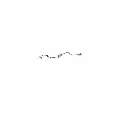 [CH2]/C=C/C#CCCCCC